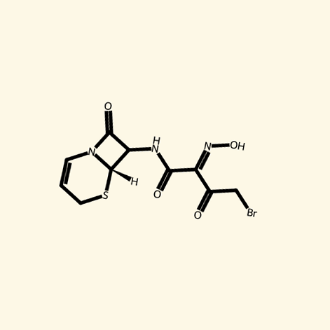 O=C(CBr)C(=NO)C(=O)NC1C(=O)N2C=CCS[C@@H]12